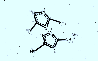 Nc1nnc(S)s1.Nc1nnc(S)s1.[Mn]